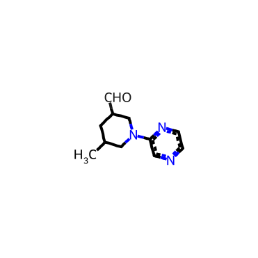 CC1CC(C=O)CN(c2cnccn2)C1